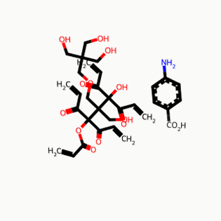 C=CC(=O)OC(C(=O)C=C)(C(=O)C=C)C(CO)(COCC(CO)(CO)CO)C(O)(C(=O)C=C)C(=O)C=C.Nc1ccc(C(=O)O)cc1